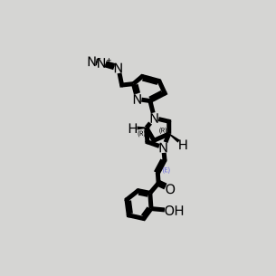 [N-]=[N+]=NCc1cccc(N2C[C@H]3C[C@@H]2CN3/C=C/C(=O)c2ccccc2O)n1